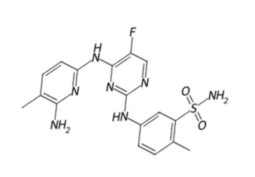 Cc1ccc(Nc2ncc(F)c(Nc3ccc(C)c(N)n3)n2)cc1S(N)(=O)=O